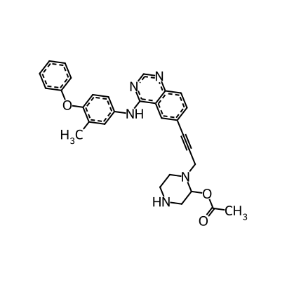 CC(=O)OC1CNCCN1CC#Cc1ccc2ncnc(Nc3ccc(Oc4ccccc4)c(C)c3)c2c1